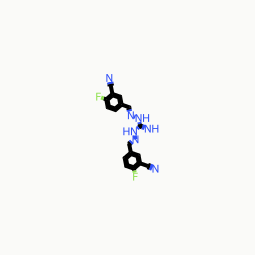 N#Cc1cc(/C=N/NC(=N)N/N=C/c2ccc(F)c(C#N)c2)ccc1F